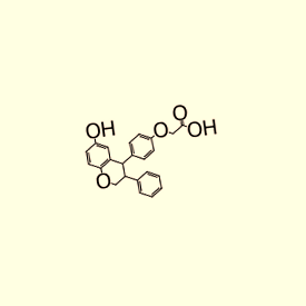 O=C(O)COc1ccc(C2c3cc(O)ccc3OCC2c2ccccc2)cc1